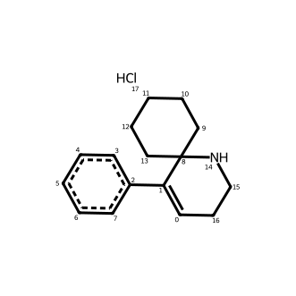 C1=C(c2ccccc2)C2(CCCCC2)NCC1.Cl